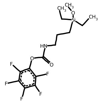 CC[Si](CC)(CCCNC(=O)Oc1c(F)c(F)c(F)c(F)c1F)OC